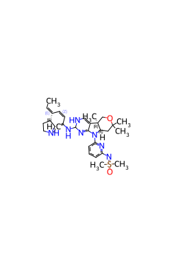 C=C(/C=C\C(=C/C)[C@H]1CCNC1)NC1N=C2C(=CN1)[C@@]1(C)COC(C)(C)C[C@H]1N2c1cccc(N=S(C)(C)=O)n1